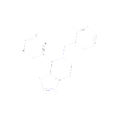 c1ccc(CN2CCc3nc[nH]c3C2c2ccccc2)cc1